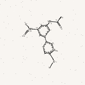 COc1ccc(-c2cc(NC(C)=O)cc([N+](=O)[O-])c2)cn1